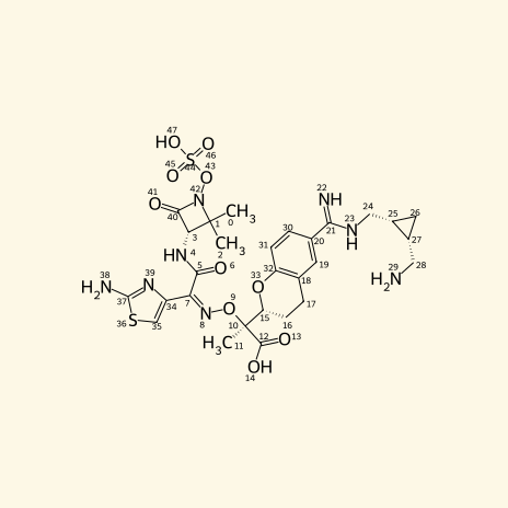 CC1(C)[C@H](NC(=O)/C(=N\O[C@](C)(C(=O)O)[C@H]2CCc3cc(C(=N)NC[C@@H]4C[C@@H]4CN)ccc3O2)c2csc(N)n2)C(=O)N1OS(=O)(=O)O